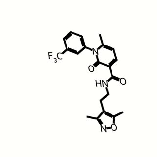 Cc1noc(C)c1CCNC(=O)c1ccc(C)n(-c2cccc(C(F)(F)F)c2)c1=O